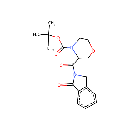 CC(C)(C)OC(=O)N1CCOCC1C(=O)N1Cc2ccccc2C1=O